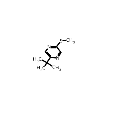 CSc1cnc(C(C)(C)C)cn1